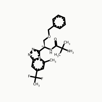 Cc1cc(C(C)(F)F)cc2nnc([C@@H](COCc3ccccc3)NC(=O)C(C)(C)N)n12